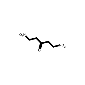 O=C(CC[N+](=O)[O-])CC[N+](=O)[O-]